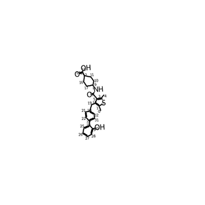 Cc1sc(C)c(C(=O)NC2CCC(C(=O)O)CC2)c1Cc1ccc(-c2ccccc2O)cc1